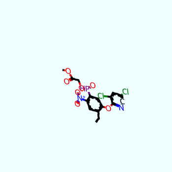 CCc1cc([N+](=O)[O-])c([PH](=O)OCC(=O)OC)cc1Oc1ncc(Cl)cc1Cl